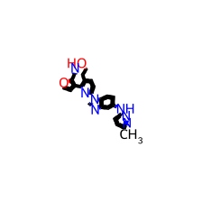 Cc1ccc(Nc2ccc3c(c2)ncn3-c2ccc(CCO)c(-c3ccoc3C#N)n2)nn1